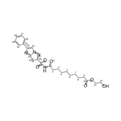 O=C(CCCCCCCCC(=O)OCCO)NS(=O)(=O)c1nn2cc(-c3ccccc3)nc2s1